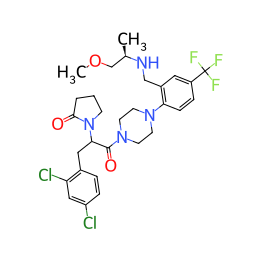 COC[C@@H](C)NCc1cc(C(F)(F)F)ccc1N1CCN(C(=O)C(Cc2ccc(Cl)cc2Cl)N2CCCC2=O)CC1